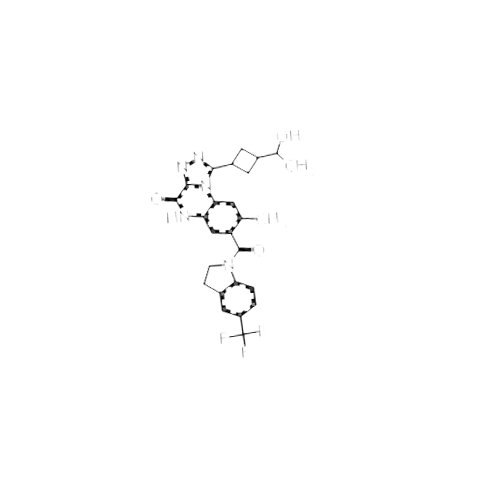 Cc1cc2c(cc1C(=O)N1CCc3cc(C(F)(F)F)ccc31)[nH]c(=O)c1nnc(C3CC(C(C)O)C3)n12